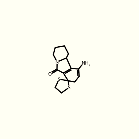 NC1=CCC2(SCCS2)C2=C1C1CCCCN1C2=O